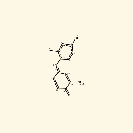 Cc1cc(O)ccc1/N=C1/C=CC(=O)C(N)=N1